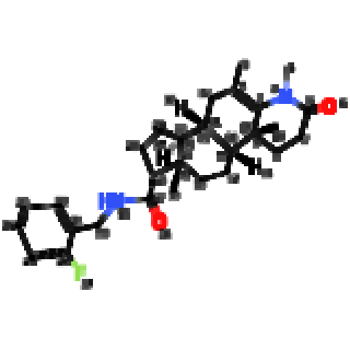 CC1=C2N(C)C(=O)CC[C@]2(C)[C@@H]2CC[C@]3(C)C(C(=O)NCc4ccccc4F)CC[C@H]3[C@@H]2C1